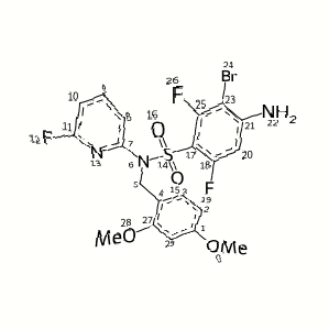 COc1ccc(CN(c2cccc(F)n2)S(=O)(=O)c2c(F)cc(N)c(Br)c2F)c(OC)c1